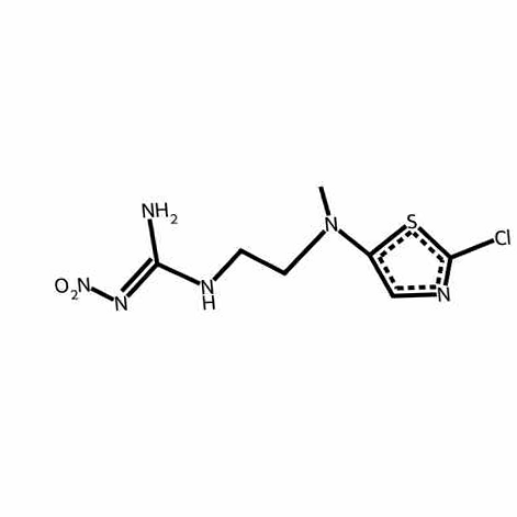 CN(CCN/C(N)=N/[N+](=O)[O-])c1cnc(Cl)s1